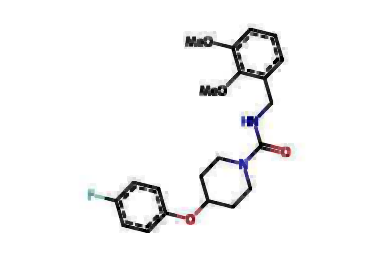 COc1cccc(CNC(=O)N2CCC(Oc3ccc(F)cc3)CC2)c1OC